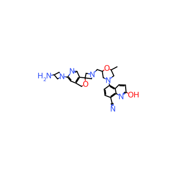 CC1CN(c2ccc(C#N)c3nc(O)ccc23)CC(CN2CC3(C2)OCc2cc(N4CC(N)C4)ncc23)O1